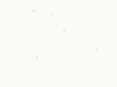 Cc1c(N2CCC(CN)C2)c(F)c(CN)c2ccc(=O)n(C3CC3)c12